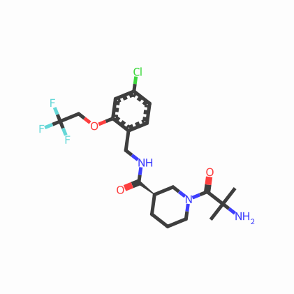 CC(C)(N)C(=O)N1CCC[C@@H](C(=O)NCc2ccc(Cl)cc2OCC(F)(F)F)C1